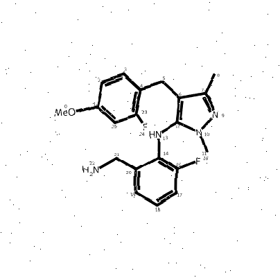 COc1ccc(Cc2c(C)nn(C)c2Nc2c(F)cccc2CN)c(F)c1